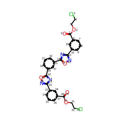 O=C(OCCCl)c1cccc(-c2noc(-c3cccc(-c4nc(-c5cccc(C(=O)OCCCl)c5)no4)c3)n2)c1